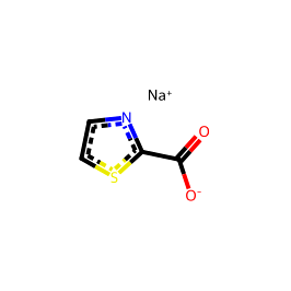 O=C([O-])c1nccs1.[Na+]